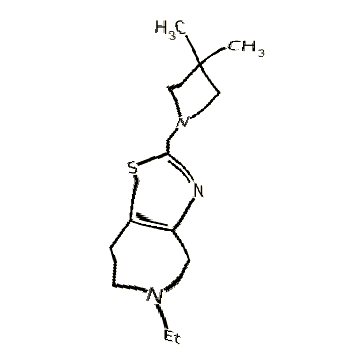 CCN1CCc2sc(N3CC(C)(C)C3)nc2C1